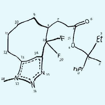 CCCC(C)(CC)OC(=O)CC1CCCCc2c(nnn2C)C1(F)F